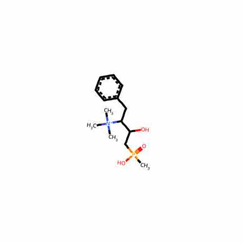 C[N+](C)(C)C(Cc1ccccc1)C(O)CP(C)(=O)O